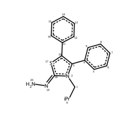 CC(C)Cn1c(-c2ccccc2)c(-c2ccccc2)s/c1=N\N